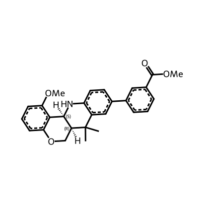 COC(=O)c1cccc(-c2ccc3c(c2)C(C)(C)[C@H]2COc4cccc(OC)c4[C@H]2N3)c1